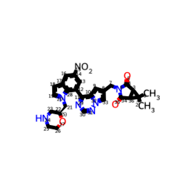 CC1(C)C2C(=O)N(Cc3cc4c(-c5cc([N+](=O)[O-])cc6ccn(C[C@@H]7CNCCO7)c56)ncnn4c3)C(=O)C21